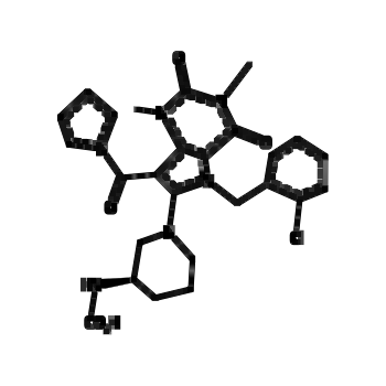 Cn1c(=O)c2c(c(C(=O)n3cccc3)c(N3CCC[C@@H](NC(=O)O)C3)n2Cc2ccccc2Cl)n(C)c1=O